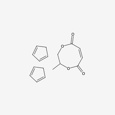 C1=CCC=C1.C1=CCC=C1.CC1COC(=O)C=CC(=O)O1